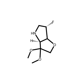 COC1(OC)COC2[C@@H](F)CN[C@@H]21